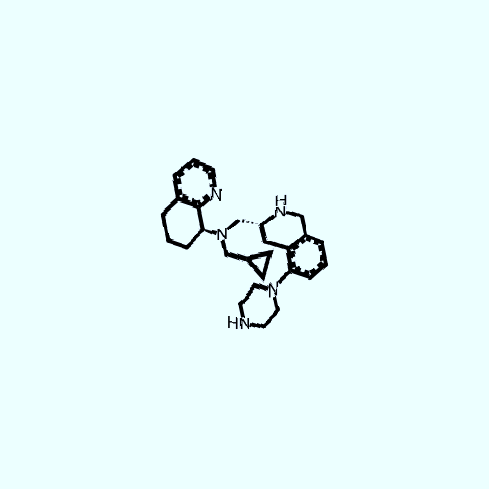 c1cnc2c(c1)CCC[C@@H]2N(CC1CC1)C[C@H]1Cc2c(cccc2N2CCNCC2)CN1